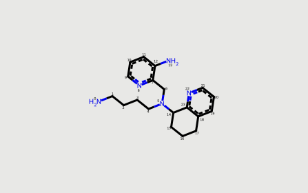 NCCCCN(Cc1ncccc1N)C1CCCc2cccnc21